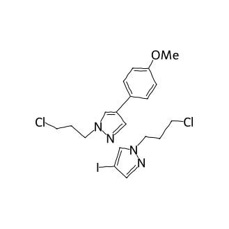 COc1ccc(-c2cnn(CCCCl)c2)cc1.ClCCCn1cc(I)cn1